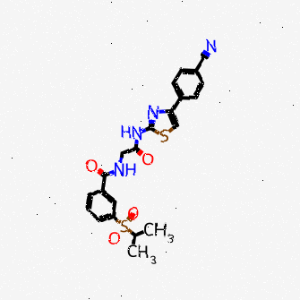 CC(C)S(=O)(=O)c1cccc(C(=O)NCC(=O)Nc2nc(-c3ccc(C#N)cc3)cs2)c1